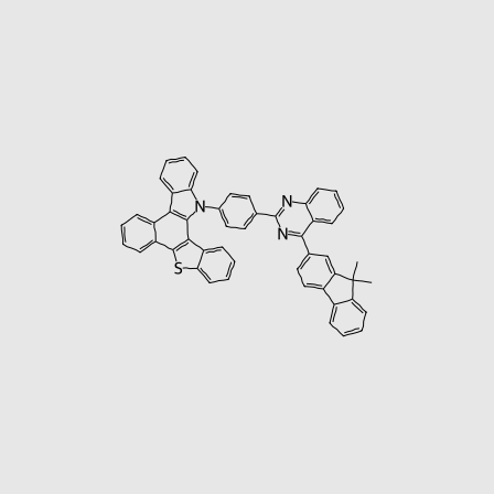 CC1(C)c2ccccc2-c2ccc(-c3nc(-c4ccc(-n5c6ccccc6c6c7ccccc7c7sc8ccccc8c7c65)cc4)nc4ccccc34)cc21